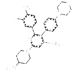 Cl.N#Cc1ccc(-c2nc(N3CCC(N)CC3)cc(O)c2-c2ccc(N3CCOCC3)cc2)cc1F